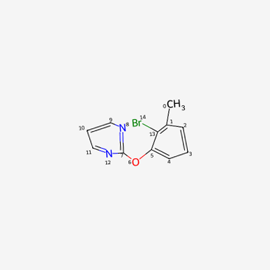 Cc1cccc(Oc2ncccn2)c1Br